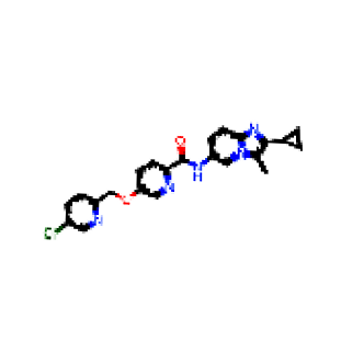 Cc1c(C2CC2)nc2ccc(NC(=O)c3ccc(OCc4ccc(Cl)cn4)cn3)cn12